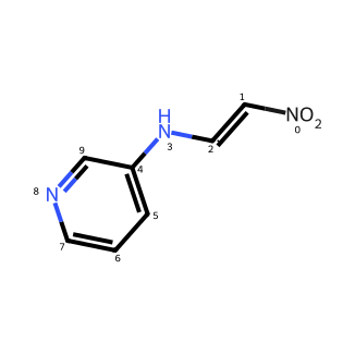 O=[N+]([O-])/C=[C]/Nc1cccnc1